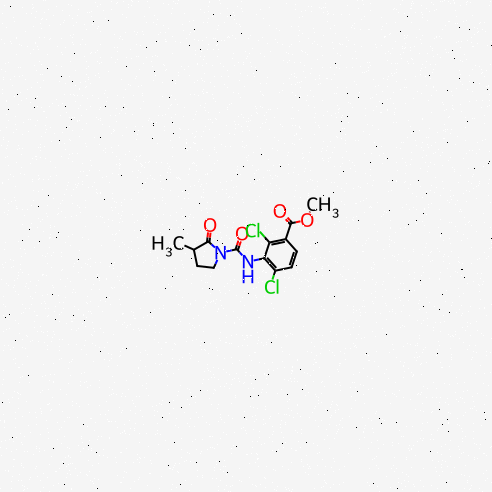 COC(=O)c1ccc(Cl)c(NC(=O)N2CCC(C)C2=O)c1Cl